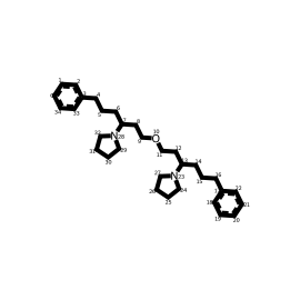 c1ccc(CCCC(CCOCCC(CCCc2ccccc2)N2CCCC2)N2CCCC2)cc1